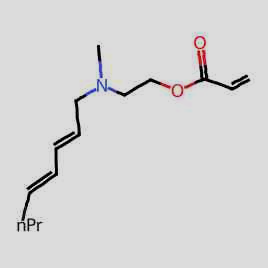 C=CC(=O)OCCN(C)C/C=C/C=C/CCC